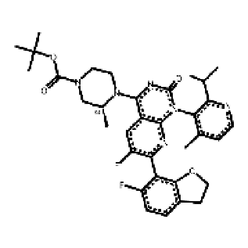 Cc1ccnc(C(C)C)c1-n1c(=O)nc(N2CCN(C(=O)OC(C)(C)C)C[C@@H]2C)c2cc(F)c(-c3c(F)ccc4c3OCC4)nc21